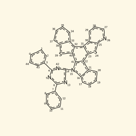 c1ccc(-c2nc(-c3ccccc3)nc(-n3c4ccccc4c4c5sc6ncccc6c5c5c6ccccc6sc5c43)n2)cc1